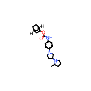 CC1CCCN1C1CCN(c2ccc(NC(=O)OC3C[C@@H]4CC[C@H]3C4)cc2)C1